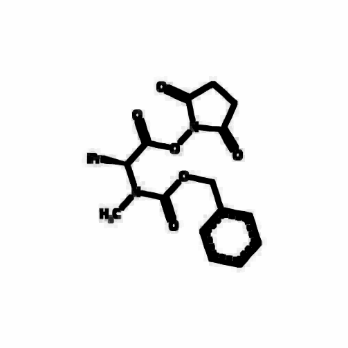 CC(C)[C@@H](C(=O)ON1C(=O)CCC1=O)N(C)C(=O)OCc1ccccc1